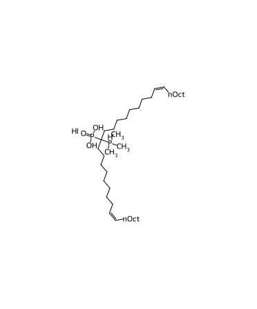 CCCCCCCC/C=C\CCCCCCCCC(CCCCCCCC/C=C\CCCCCCCC)(P(=O)(O)O)[PH](C)(C)C.I